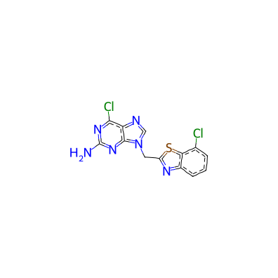 Nc1nc(Cl)c2ncn(Cc3nc4cccc(Cl)c4s3)c2n1